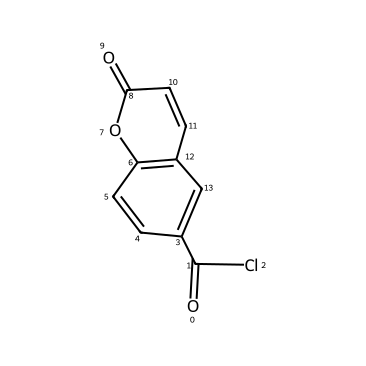 O=C(Cl)c1ccc2oc(=O)ccc2c1